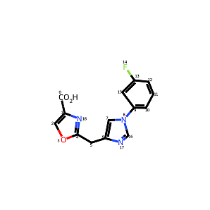 O=C(O)c1coc(Cc2cn(-c3cccc(F)c3)cn2)n1